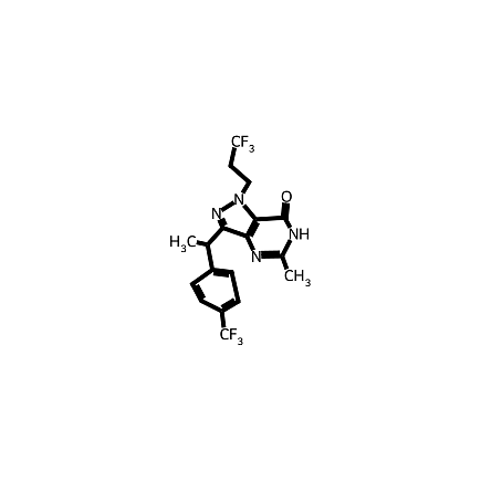 Cc1nc2c(C(C)c3ccc(C(F)(F)F)cc3)nn(CCC(F)(F)F)c2c(=O)[nH]1